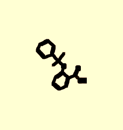 CC(C)(Oc1ccccc1C(=O)O)c1ccccc1